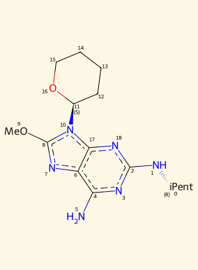 CCC[C@@H](C)Nc1nc(N)c2nc(OC)n([C@@H]3CCCCO3)c2n1